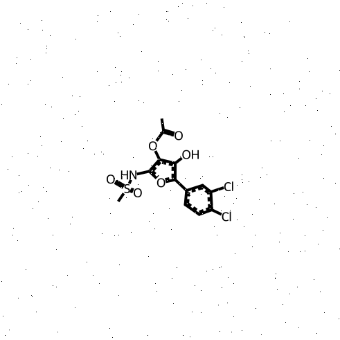 CC(=O)Oc1c(NS(C)(=O)=O)oc(-c2ccc(Cl)c(Cl)c2)c1O